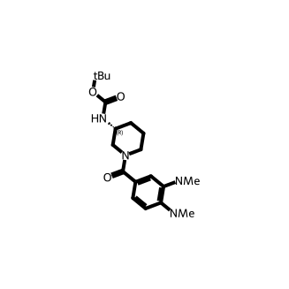 CNc1ccc(C(=O)N2CCC[C@@H](NC(=O)OC(C)(C)C)C2)cc1NC